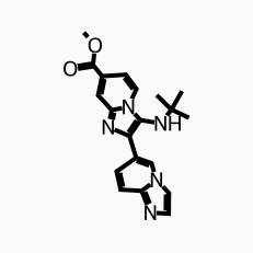 COC(=O)c1ccn2c(NC(C)(C)C)c(-c3ccc4nccn4c3)nc2c1